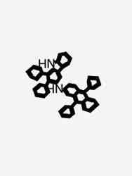 c1ccc(-c2c(Nc3ccc4c(-c5ccccc5)c5ccccc5c(-c5ccccc5)c4c3)cc3c([nH]c4ccccc43)c2-c2ccccc2)cc1